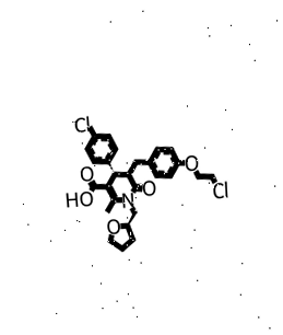 CC1=C(C(=O)O)[C@H](c2ccc(Cl)cc2)C(Cc2ccc(OCCCl)cc2)C(=O)N1C[C@H]1CCCO1